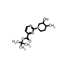 CC1CCN(c2nccc(C(=O)OC(C)(C)C)n2)CC1O